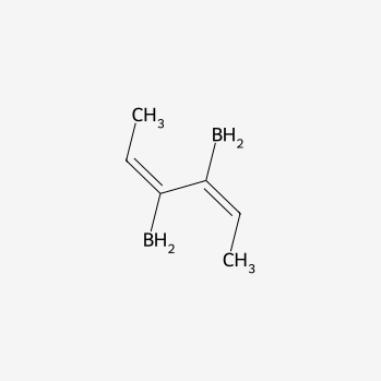 BC(=C/C)/C(B)=C\C